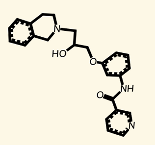 O=C(Nc1cccc(OCC(O)CN2CCc3ccccc3C2)c1)c1cccnc1